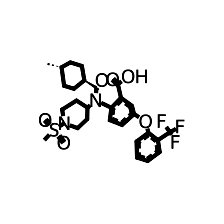 CS(=O)(=O)N1CCC(N(c2ccc(Oc3ccccc3C(F)(F)F)cc2C(=O)O)C(=O)[C@H]2CC[C@H](C)CC2)CC1